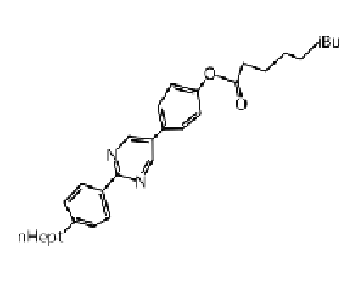 CCCCCCCc1ccc(-c2ncc(-c3ccc(OC(=O)CCCCC(C)CC)cc3)cn2)cc1